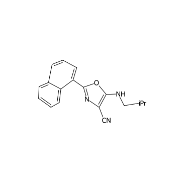 CC(C)CNc1oc(-c2cccc3ccccc23)nc1C#N